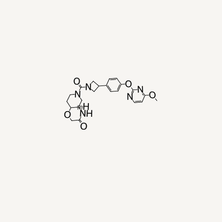 COc1ccnc(Oc2ccc(C3CN(C(=O)N4CCC5OCC(=O)N[C@@H]5C4)C3)cc2)n1